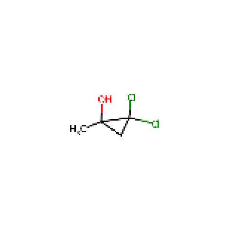 CC1(O)CC1(Cl)Cl